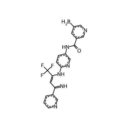 Bc1cncc(C(=O)Nc2ccc(N/C(=C\C(=N)c3cccnc3)C(F)(F)F)nc2)c1